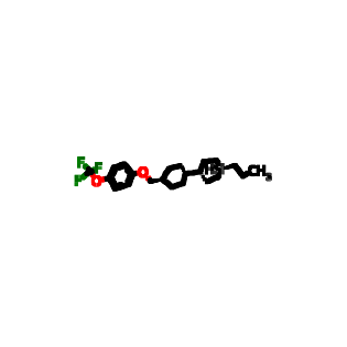 CCC[Si@H]1CC[C@H]([C@H]2CC[C@H](COc3ccc(OC(F)(F)F)cc3)CC2)CC1